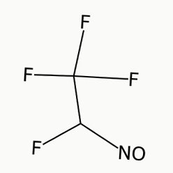 O=NC(F)C(F)(F)F